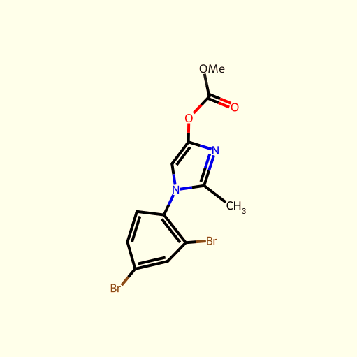 COC(=O)Oc1cn(-c2ccc(Br)cc2Br)c(C)n1